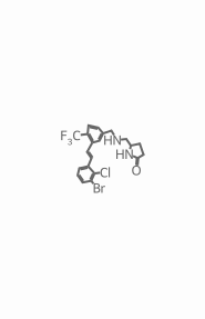 O=C1CCC(CNCc2ccc(C(F)(F)F)c(C=Cc3cccc(Br)c3Cl)c2)N1